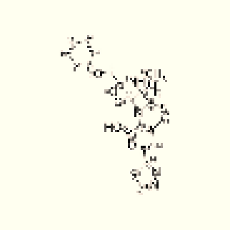 COC1(NC(=O)COc2ccccc2)C(=O)N2C(C(=O)O)=C(CSc3nncs3)CS[C@@H]21